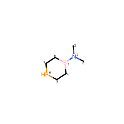 CN(C)B1CCPCC1